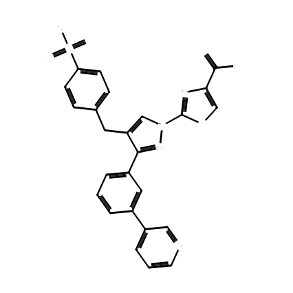 NS(=O)(=O)c1ccc(Cc2cn(-c3nc(C(=O)O)cs3)nc2-c2cccc(-c3cccnc3)c2)cc1